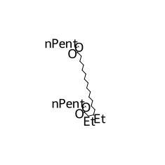 CCCCCOC(=O)CCCCCCCCCCCCCC(CC)C(CC)C(=O)OCCCCC